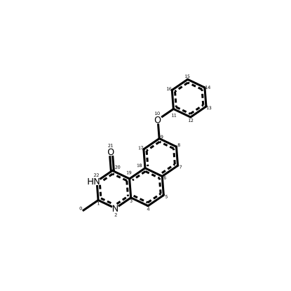 Cc1nc2ccc3ccc(Oc4ccccc4)cc3c2c(=O)[nH]1